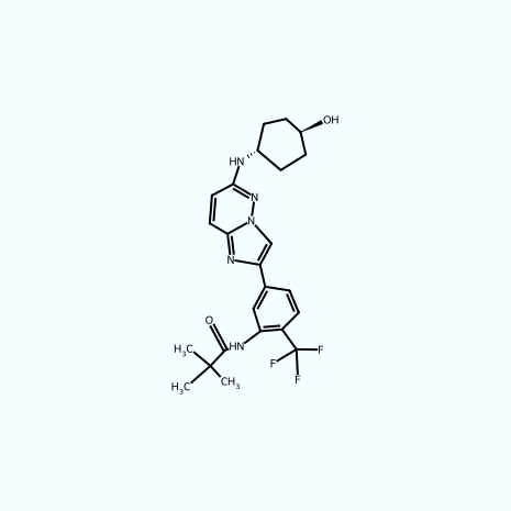 CC(C)(C)C(=O)Nc1cc(-c2cn3nc(N[C@H]4CC[C@H](O)CC4)ccc3n2)ccc1C(F)(F)F